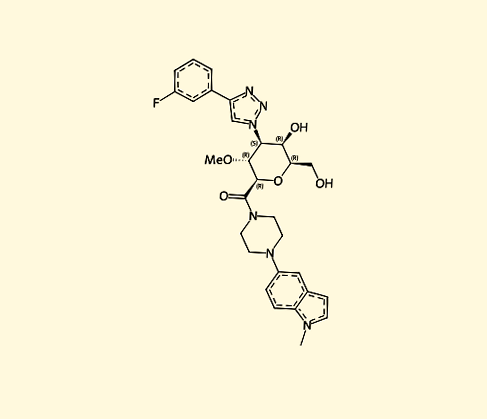 CO[C@@H]1[C@@H](n2cc(-c3cccc(F)c3)nn2)[C@@H](O)[C@@H](CO)O[C@H]1C(=O)N1CCN(c2ccc3c(ccn3C)c2)CC1